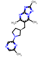 Cc1cncc(N2CC[C@@H](Cc3c(C)nc4nc(C)nn4c3C)C2)n1